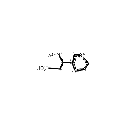 CNC(CC(=O)O)c1cnccn1